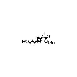 CC(C)(C)OC(=O)NC1CC(CCCO)C1